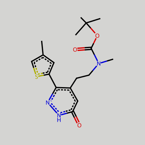 Cc1csc(-c2n[nH]c(=O)cc2CCN(C)C(=O)OC(C)(C)C)c1